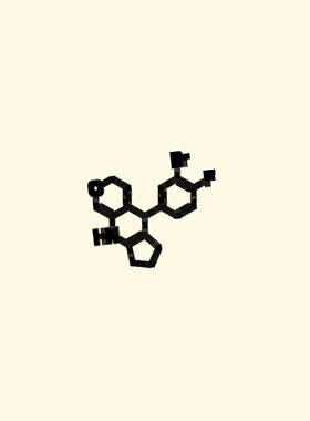 Fc1ccc(C2C3=CCOC=C3NC3=C2CCC3)cc1Br